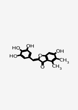 Cc1c(O)cc2c(c1C)C(=O)/C(=C/c1cc(O)c(O)c(O)c1)O2